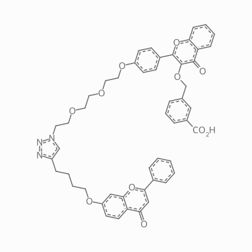 O=C(O)c1cccc(COc2c(-c3ccc(OCCOCCOCCn4cc(CCCCOc5ccc6c(=O)cc(-c7ccccc7)oc6c5)nn4)cc3)oc3ccccc3c2=O)c1